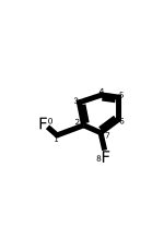 FCc1ccccc1F